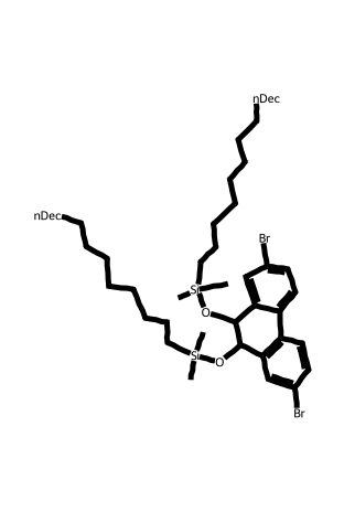 CCCCCCCCCCCCCCCCCC[Si](C)(C)OC1c2cc(Br)ccc2-c2ccc(Br)cc2C1O[Si](C)(C)CCCCCCCCCCCCCCCCCC